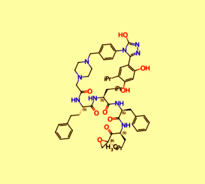 CC(C)C[C@H](NC(=O)[C@H](CCc1ccccc1)NC(=O)CN1CCN(Cc2ccc(-n3c(O)nnc3-c3cc(C(C)C)c(O)cc3O)cc2)CC1)C(=O)N[C@@H](Cc1ccccc1)C(=O)N[C@@H](CC(C)C)C(=O)[C@@]1(C)CO1